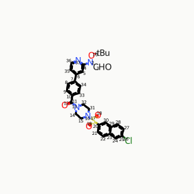 CC(C)(C)ON(C=O)c1cc(-c2ccc(C(=O)N3CCN(S(=O)(=O)c4ccc5cc(Cl)ccc5c4)CC3)cc2)ccn1